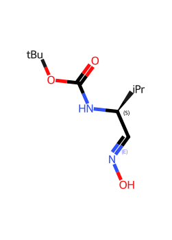 CC(C)[C@@H](/C=N/O)NC(=O)OC(C)(C)C